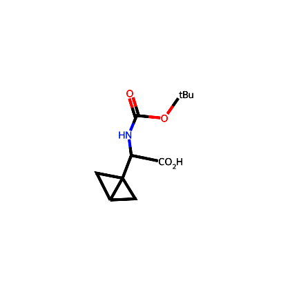 CC(C)(C)OC(=O)NC(C(=O)O)C12CC1C2